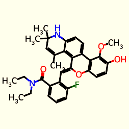 CCN(CC)C(=O)c1cccc(F)c1/C=C1\Oc2ccc(O)c(OC)c2-c2ccc3c(c21)C(C)=CC(C)(C)N3